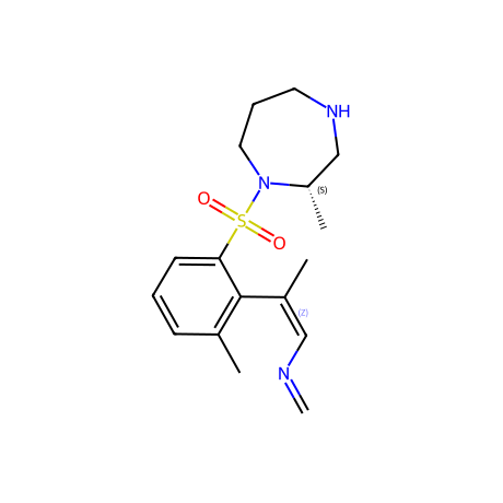 C=N/C=C(/C)c1c(C)cccc1S(=O)(=O)N1CCCNC[C@@H]1C